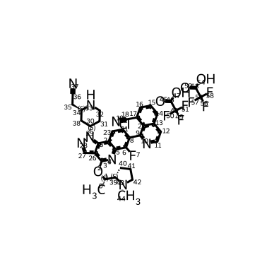 C[C@H](Oc1nc2c(F)c(-c3nccc4cccc(C#N)c34)c(Cl)cc2c2c1cnn2[C@H]1CCN[C@H](CC#N)C1)[C@@H]1CCCN1C.O=C(O)C(F)(F)F.O=C(O)C(F)(F)F